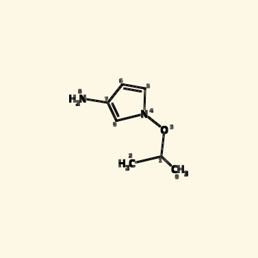 CC(C)On1ccc(N)c1